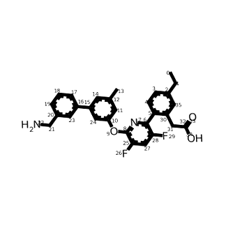 CCc1ccc(-c2nc(Oc3cc(C)cc(-c4cccc(CN)c4)c3)c(F)cc2F)c(CC(=O)O)c1